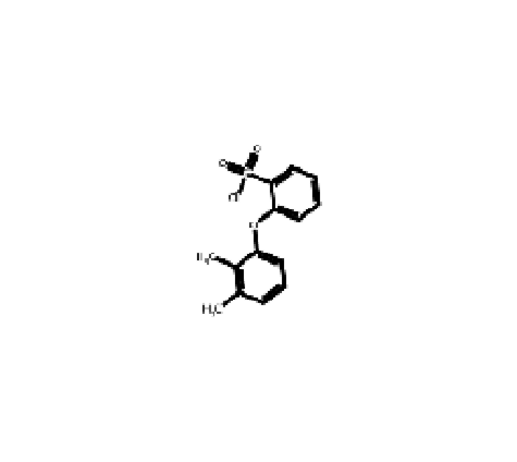 Cc1cccc(Oc2ccccc2S(=O)(=O)Cl)c1C